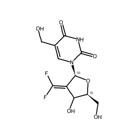 O=c1[nH]c(=O)n([C@H]2O[C@@H](CO)C(O)C2=C(F)F)cc1CO